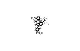 CC(C)(CO)c1ccc2c(c1)n(C(=O)c1c(Cl)cccc1C(F)(F)F)c(=O)n2-c1ccc(C(=O)O)cc1F